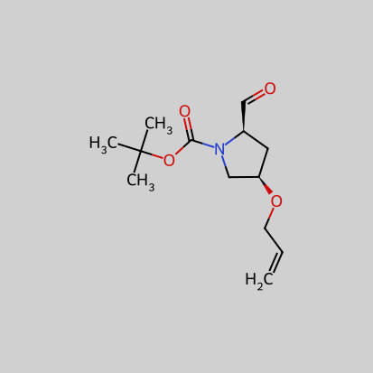 C=CCO[C@@H]1C[C@H](C=O)N(C(=O)OC(C)(C)C)C1